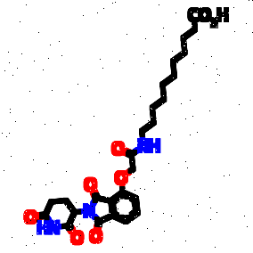 O=C(O)CCCCCCCCCCNC(=O)COc1cccc2c1C(=O)N(C1CCC(=O)NC1=O)C2=O